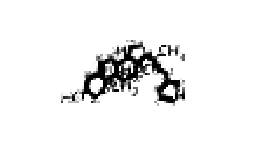 C[C@H](CCc1cccnc1)[C@H]1CC[C@H]2[C@@H]3CC=C4C[C@@H](O)CC[C@]4(C)[C@H]3CC[C@]12C